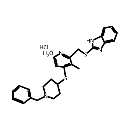 Cc1c(SC2CCN(Cc3ccccc3)CC2)ccnc1CSc1nc2ccccc2[nH]1.Cl.O